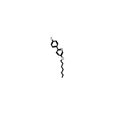 CCCCCCCOc1ccc(-c2ccc(F)cc2)nc1